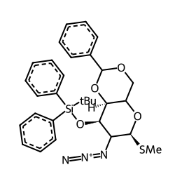 CS[C@@H]1OC2COC(c3ccccc3)O[C@@H]2[C@H](O[Si](c2ccccc2)(c2ccccc2)C(C)(C)C)C1N=[N+]=[N-]